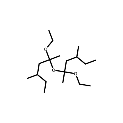 CCOC(C)(CC(C)CC)OC(C)(CC(C)CC)OCC